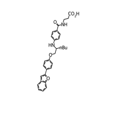 CCCCC(COc1ccc(-c2cc3ccccc3o2)cc1)Nc1ccc(C(=O)NCCC(=O)O)cc1